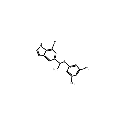 CC(Sc1nc(N)cc(C(F)(F)F)n1)c1cc2cc[nH]c2c(Cl)n1